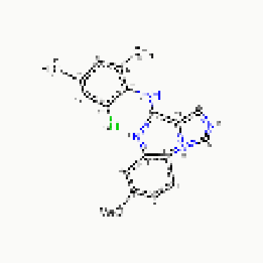 COc1ccc2c(c1)nc(Nc1c(C)cc(C)cc1Cl)c1cncn12